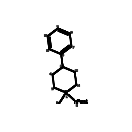 CCCCC[Si]1(C)CCC(c2cc[c]cc2)CC1